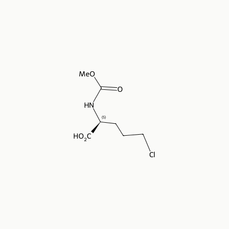 COC(=O)N[C@@H](CCCCl)C(=O)O